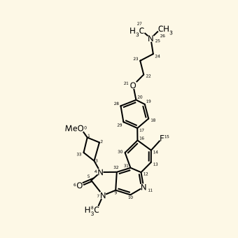 COC1CC(n2c(=O)n(C)c3cnc4cc(F)c(-c5ccc(OCCCN(C)C)cc5)cc4c32)C1